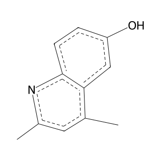 Cc1cc(C)c2cc(O)ccc2n1